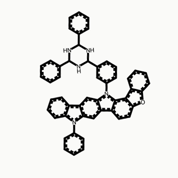 c1ccc(C2NC(c3ccccc3)NC(c3cccc(-n4c5cc6c7ccccc7n(-c7ccccc7)c6cc5c5ccc6oc7ccccc7c6c54)c3)N2)cc1